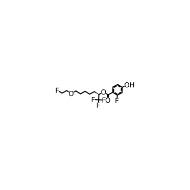 O=C(O[C@H](CCCCCOCCF)C(F)(F)F)c1ccc(O)cc1F